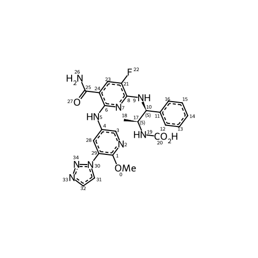 COc1ncc(Nc2nc(N[C@@H](c3ccccc3)[C@H](C)NC(=O)O)c(F)cc2C(N)=O)cc1-n1ccnn1